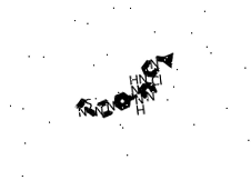 Clc1cnc2[nH]c(-c3ccc(N4CCN(Cc5nccs5)CC4)cc3)nc2c1NC1CCN(CC2CC2)CC1